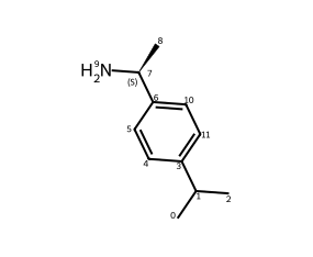 CC(C)c1ccc([C@H](C)N)cc1